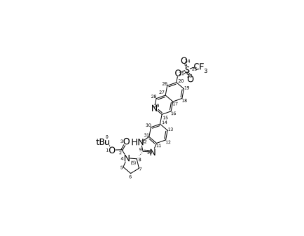 CC(C)(C)OC(=O)N1CCC[C@H]1c1nc2ccc(-c3cc4ccc(OS(=O)(=O)C(F)(F)F)cc4cn3)cc2[nH]1